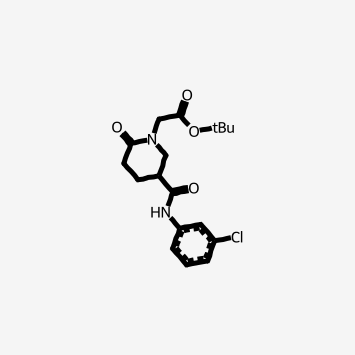 CC(C)(C)OC(=O)CN1CC(C(=O)Nc2cccc(Cl)c2)CCC1=O